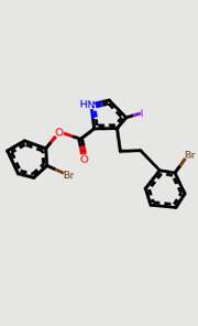 O=C(Oc1ccccc1Br)c1[nH]cc(I)c1CCc1ccccc1Br